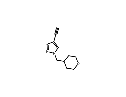 C#Cc1cnn(CC2CCOCC2)c1